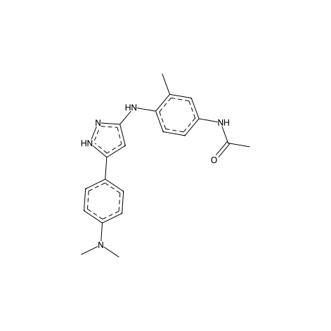 CC(=O)Nc1ccc(Nc2cc(-c3ccc(N(C)C)cc3)[nH]n2)c(C)c1